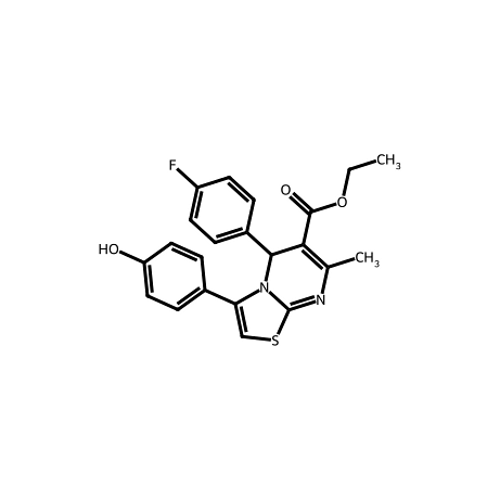 CCOC(=O)C1=C(C)N=C2SC=C(c3ccc(O)cc3)N2C1c1ccc(F)cc1